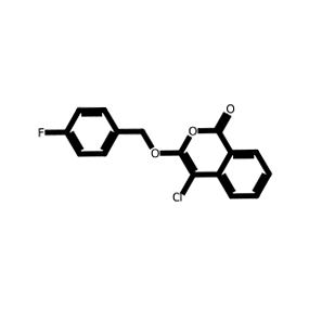 O=c1oc(OCc2ccc(F)cc2)c(Cl)c2ccccc12